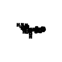 Nc1ncnc2c1ncn2[C@@H]1C[C@H](CNS(=O)(=O)c2ccc3ccccc3c2)[C@@H](O)[C@H]1O